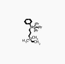 C=C[Si](C)(C)CCCN(c1ccccc1)[Si](C(C)C)(C(C)C)C(C)C